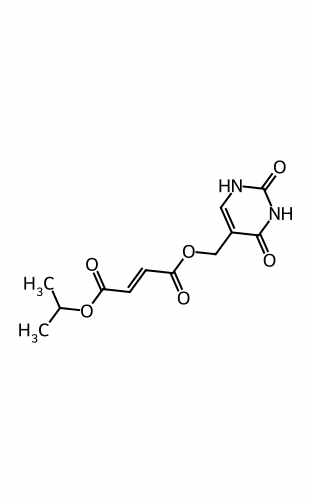 CC(C)OC(=O)/C=C/C(=O)OCc1c[nH]c(=O)[nH]c1=O